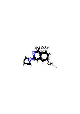 CNc1nc(N2CCCC2)cc2cc(C)ccc12